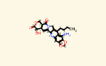 CCCCc1c2c(nc3cc4c(c(N)c13)OCO4)-c1cc3c(c(=O)n1C2)COC(=O)[C@H]3O